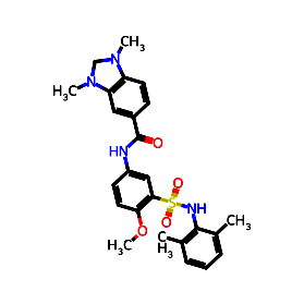 COc1ccc(NC(=O)c2ccc3c(c2)N(C)CN3C)cc1S(=O)(=O)Nc1c(C)cccc1C